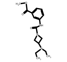 CCN(CC)C1CN(C(=O)Nc2cccc(C(=O)OC)c2)C1